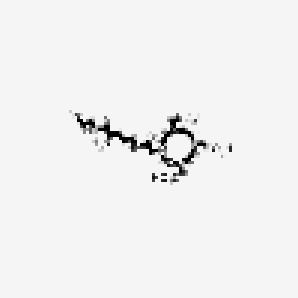 CC(C)CCNC(=O)[C@H](N)CCCNC(=O)CN1CCN(CC(=O)O)CCN(CC(=O)O)CCN(CC(=O)O)CC1